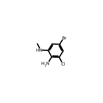 CNc1cc(Br)cc(Cl)c1N